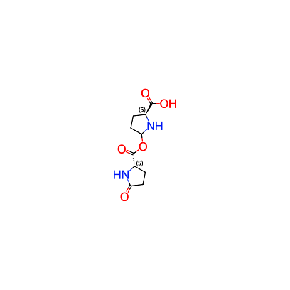 O=C1CC[C@@H](C(=O)OC2CC[C@@H](C(=O)O)N2)N1